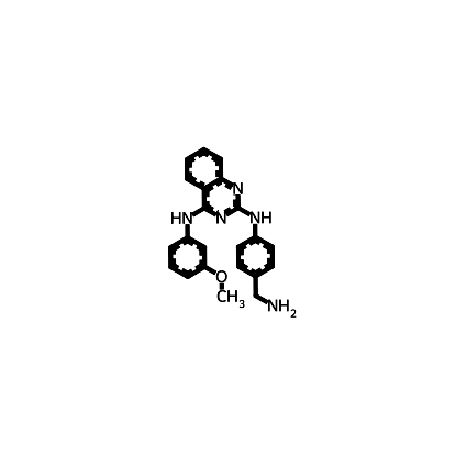 COc1cccc(Nc2nc(Nc3ccc(CN)cc3)nc3ccccc23)c1